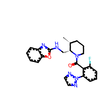 C[C@@H]1CCCN(C(=O)c2c(F)cccc2-n2nccn2)[C@@H]1CNc1nc2ccccc2o1